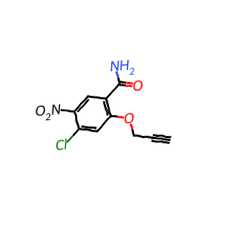 C#CCOc1cc(Cl)c([N+](=O)[O-])cc1C(N)=O